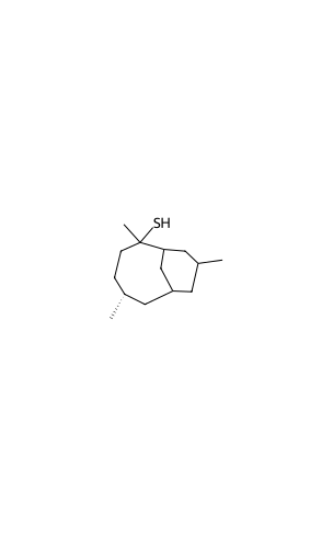 CC1CC2CC(C1)C(C)(S)CC[C@@H](C)C2